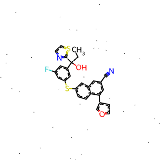 CCC(O)(c1cc(F)cc(Sc2ccc3c(-c4ccoc4)cc(C#N)cc3c2)c1)c1nccs1